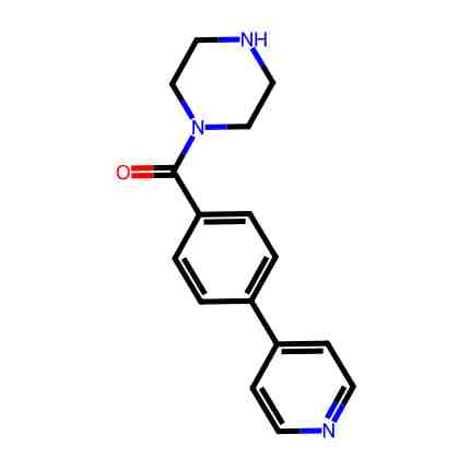 O=C(c1ccc(-c2ccncc2)cc1)N1CCNCC1